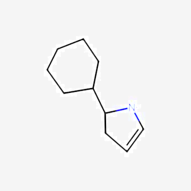 C1=C[N]C(C2CCCCC2)C1